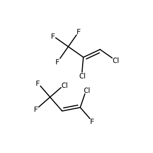 FC(Cl)=CC(F)(F)Cl.FC(F)(F)C(Cl)=CCl